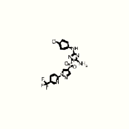 Nc1nc(Nc2ccc(Cl)cc2)nn1S(=O)(=O)c1cnn(-c2ccc(C(F)(F)F)cn2)c1